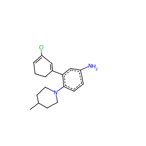 CC1CCN(c2ccc(N)cc2C2=CC(Cl)=CC[CH]2)CC1